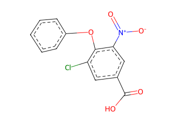 O=C(O)c1cc(Cl)c(Oc2ccccc2)c([N+](=O)[O-])c1